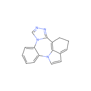 C1=c2ccn3c2=C(CC1)c1nncn1-c1ccccc1-3